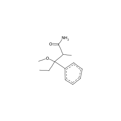 CCC(OC)(c1ccccc1)C(C)C(N)=O